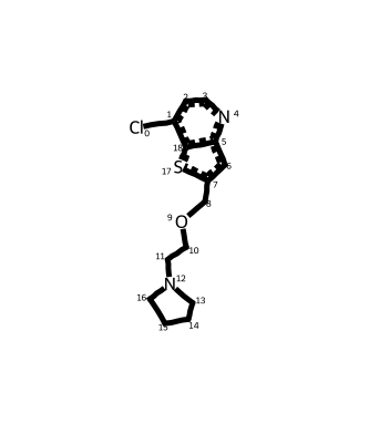 Clc1ccnc2cc(COCCN3CCCC3)sc12